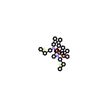 c1ccc(-c2ccc(-c3ccc(N(c4ccc(-c5cccc6c5sc5ccccc56)cc4)c4ccc5c(c4)C4(c6ccccc6-c6ccc(-c7ccc(-c8ccccc8N(c8ccc(-c9cccc%10c9sc9ccccc9%10)cc8)c8ccc9c(c8)C8(c%10ccccc%10-c%10ccccc%108)c8ccccc8-9)cc7)cc64)c4ccccc4-5)cc3)cc2)cc1